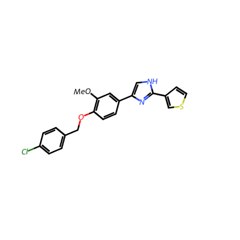 COc1cc(-c2c[nH]c(-c3ccsc3)n2)ccc1OCc1ccc(Cl)cc1